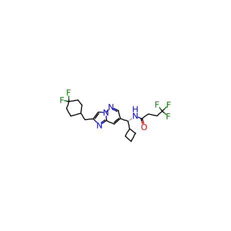 O=C(CCC(F)(F)F)N[C@@H](c1cnn2cc(CC3CCC(F)(F)CC3)nc2c1)C1CCC1